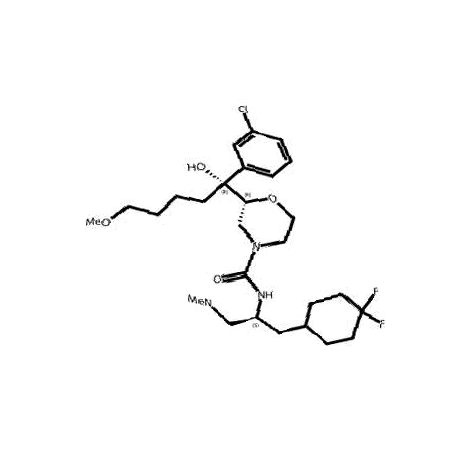 CNC[C@H](CC1CCC(F)(F)CC1)NC(=O)N1CCO[C@@H]([C@@](O)(CCCCOC)c2cccc(Cl)c2)C1